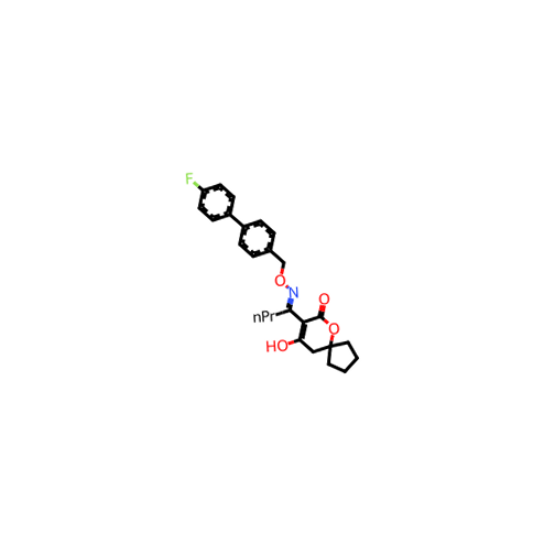 CCC/C(=N\OCc1ccc(-c2ccc(F)cc2)cc1)C1=C(O)CC2(CCCC2)OC1=O